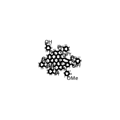 COc1ccc(-n2c3cc4c(=O)n(-c5c(C(C)C)cccc5C(C)C)c(=O)c5cc6c7c8c(=O)n(-c9c(C(C)C)cccc9C(C)C)c(=O)c9cc%10c%11c(c98)c8c9c(cc%12c(=O)n(-c%13c(C(C)C)cccc%13C(C)C)c(=O)c%13cc(c%11c9c%12%13)n%10-c9ccc(CO)cc9)c9c%10c(=O)n(-c%11c(C(C)C)cccc%11C(C)C)c(=O)c%11cc2c2c(c%11%10)c(c6c(c54)c23)c9c78)cc1